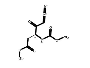 CC(C)(C)OC(=O)C[C@@H](NC(=O)OC(C)(C)C)C(=O)C=[N+]=[N-]